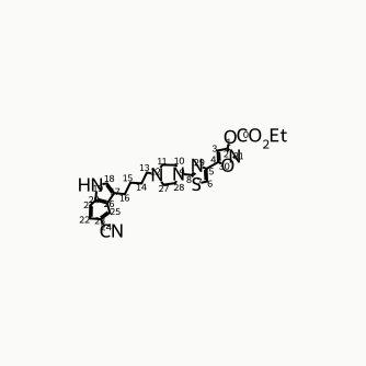 CCOC(=O)Oc1cc(-c2csc(N3CCN(CCCCc4c[nH]c5ccc(C#N)cc45)CC3)n2)on1